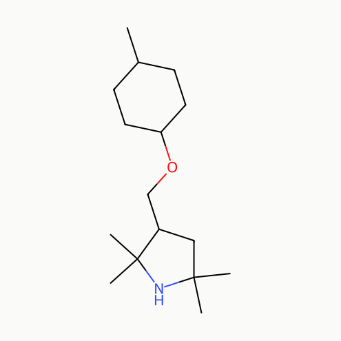 CC1CCC(OCC2CC(C)(C)NC2(C)C)CC1